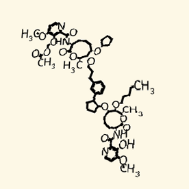 CCCCCO[C@H]1[C@H](C)OC(=O)[C@@H](NC(=O)c2nccc(OC)c2O)CCC[C@@H]1OC1CCCC1c1cccc(CCCO[C@H]2[C@H](C)OC(=O)[C@@H](NC(=O)c3nccc(OC)c3OCOC(C)=O)CCC[C@@H]2OC2CCCC2)c1